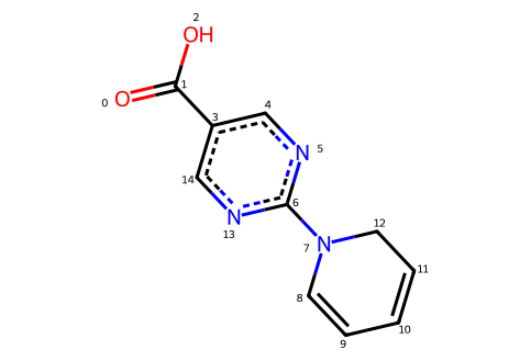 O=C(O)c1cnc(N2C=CC=CC2)nc1